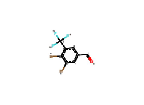 O=Cc1cc(Br)c(Br)c(C(F)(F)F)c1